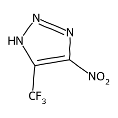 O=[N+]([O-])c1nn[nH]c1C(F)(F)F